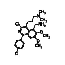 COc1cc2c(-c3ccc(Cl)cc3)nc(Cl)c(CCCN(C)C)c2c(CN)c1OC